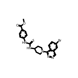 COC(=O)c1ccc(NC(=S)NC2CCN(c3nncc4cc(Br)ccc34)CC2)cc1